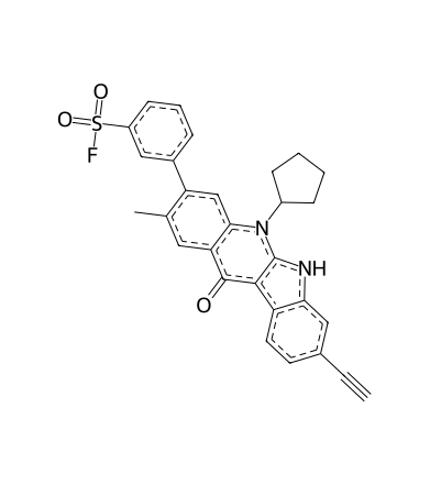 C#Cc1ccc2c(c1)[nH]c1c2c(=O)c2cc(C)c(-c3cccc(S(=O)(=O)F)c3)cc2n1C1CCCC1